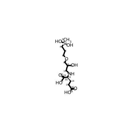 C[Si](O)(O)CCCOCC(O)CN[C@@H](CCC(=O)O)C(=O)O